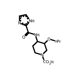 CCCOC1CN(C(=O)O)CCC1NC(=O)c1ncc[nH]1